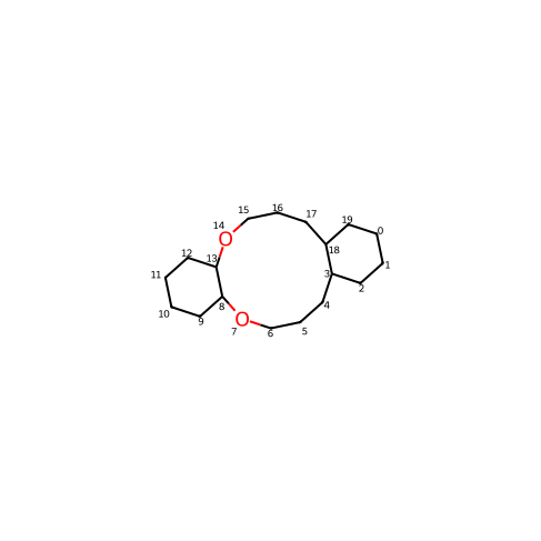 C1CCC2CCCOC3CCCCC3OCCCC2C1